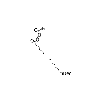 CCCCCCCCCCCCCCCCCCCCCCCC(=O)OCOC(=O)C(C)C